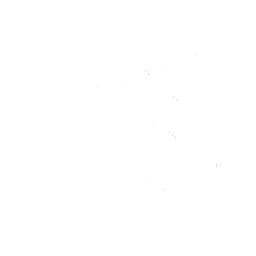 COc1ccccc1N1CCN(C2Cc3ccccc3C2N(C)C(=O)C(Cl)(Cl)c2ccccc2)CC1